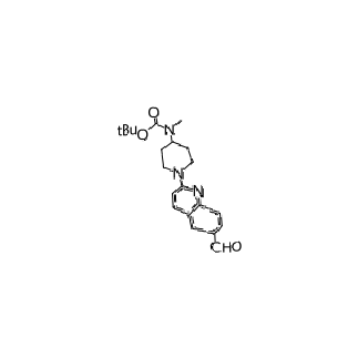 CN(C(=O)OC(C)(C)C)C1CCN(c2ccc3cc(C=O)ccc3n2)CC1